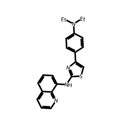 CCN(CC)c1ccc(-c2csc(Nc3cccc4cccnc34)n2)cc1